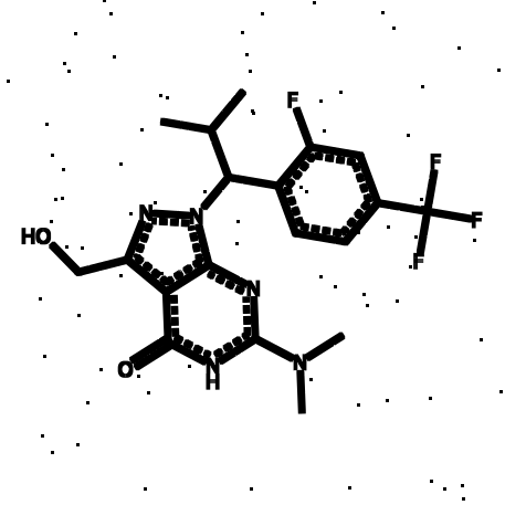 CC(C)C(c1ccc(C(F)(F)F)cc1F)n1nc(CO)c2c(=O)[nH]c(N(C)C)nc21